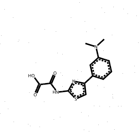 CN(C)c1cccc(-c2csc(NC(=O)C(=O)O)n2)c1